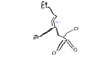 CC/C=C(\C(C)C)S(=O)(=O)Cl